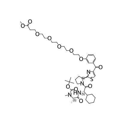 COC(=O)CCOCCOCCOCCOCCOc1cccc(C(=O)c2csc([C@@H]3CCCN3C(=O)[C@@H](NC(=O)[C@H](C)N(C)C(=O)OC(C)(C)C)C3CCCCC3)n2)c1